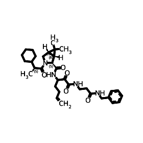 C=CCCC(NC(=O)[C@@H]1[C@@H]2[C@H](CN1C(=O)[C@@H](C)C1CCCCC1)C2(C)C)C(=O)C(=O)NCCC(=O)NCc1ccccc1